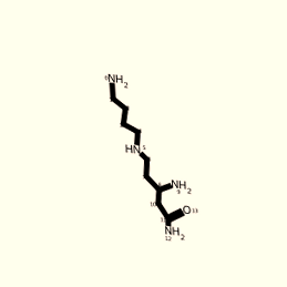 NCCCCNCCC(N)CC(N)=O